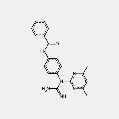 Cc1cc(C)nc(N(C(=N)N)c2ccc(NC(=O)c3ccccc3)cc2)n1